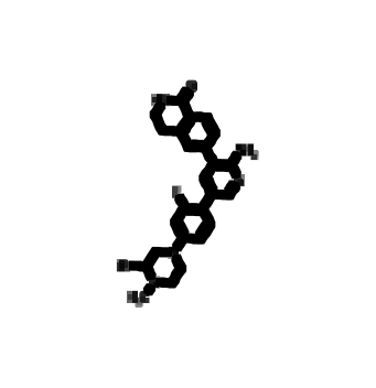 CC(C)C1CN(c2ccc(-c3cnc(N)c(-c4ccc5c(c4)CCNC5=O)c3)c(F)c2)CCN1C